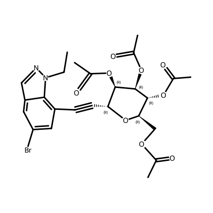 CCn1ncc2cc(Br)cc(C#C[C@H]3O[C@H](COC(C)=O)[C@@H](OC(C)=O)[C@H](OC(C)=O)[C@@H]3OC(C)=O)c21